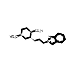 O=C(O)N1CCN(C(=O)O)[C@H](CCCn2cc3ccccc3n2)C1